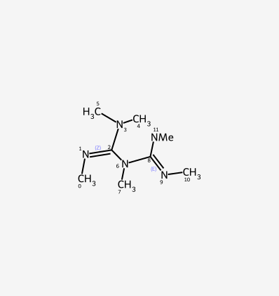 C/N=C(/N(C)C)N(C)/C(=N/C)NC